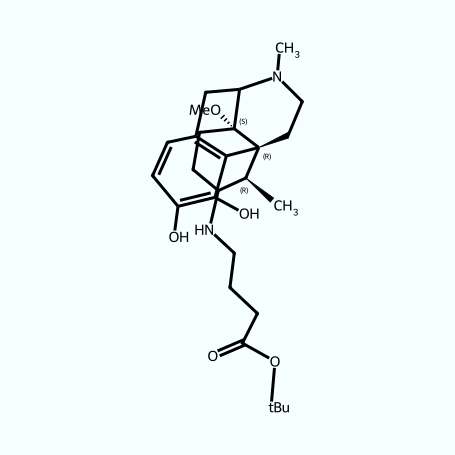 CO[C@@]12CCC(NCCCC(=O)OC(C)(C)C)[C@H](C)[C@@]13CCN(C)C2Cc1ccc(O)c(O)c13